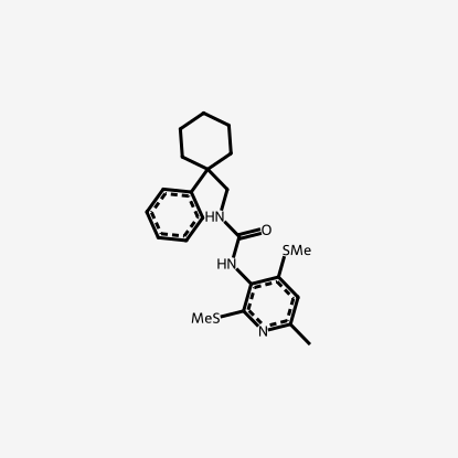 CSc1cc(C)nc(SC)c1NC(=O)NCC1(c2ccccc2)CCCCC1